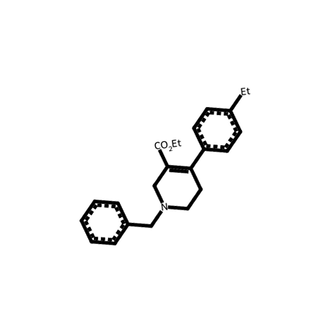 CCOC(=O)C1=C(c2ccc(CC)cc2)CCN(Cc2ccccc2)C1